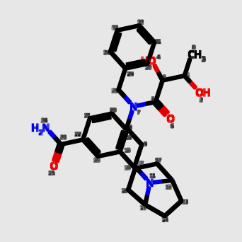 CC(O)C(O)C(=O)N(CCCN1C2CCC1CC(c1cccc(C(N)=O)c1)C2)Cc1ccccc1